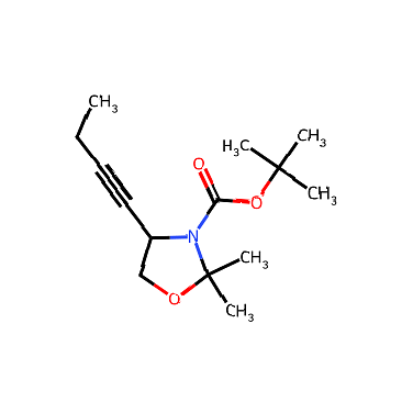 CCC#CC1COC(C)(C)N1C(=O)OC(C)(C)C